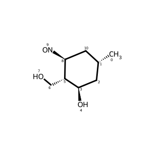 C[C@@H]1C[C@@H](O)[C@H](CO)[C@@H](N=O)C1